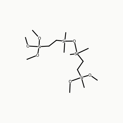 CO[Si](C)(CC[Si](C)(C)O[Si](C)(C)CC[Si](OC)(OC)OC)OC